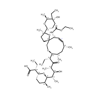 CCOC(=O)N[C@@H]1/C=C\[C@H](C)C[C@H](C)[C@@H]([C@@H](CC)C(=O)[C@@H](C)[C@@H](O)[C@H](C)[C@@H]2O[C@@H]([C@@H](CC)C(=O)O)CC[C@@H]2C)OO[C@@]12CC[C@@](C)([C@H]1CC[C@](O)(CC)[C@H](C)O1)O2